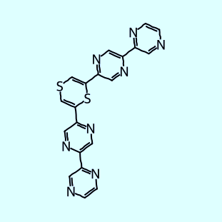 C1=C(c2cnc(-c3cnccn3)cn2)SC(c2cnc(-c3cnccn3)cn2)=CS1